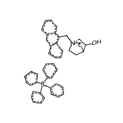 OC1C[N+]2(Cc3c4ccccc4cc4ccccc34)CCC1CC2.c1ccc([B-](c2ccccc2)(c2ccccc2)c2ccccc2)cc1